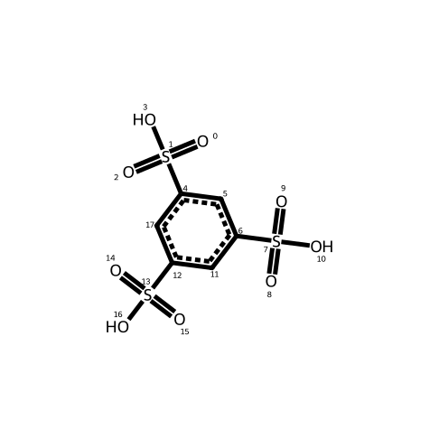 O=S(=O)(O)c1cc(S(=O)(=O)O)cc(S(=O)(=O)O)c1